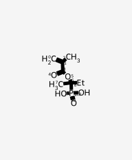 C=C(C)C(=O)OC(C)(CC)P(=O)(O)O